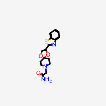 NC(=O)CN1CCC2(CC1)OCC(c1nc3ccccc3s1)O2